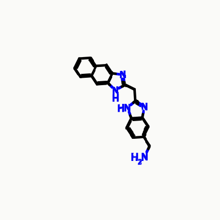 NCc1ccc2[nH]c(Cc3nc4cc5ccccc5cc4[nH]3)nc2c1